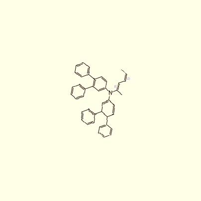 C/C=C\C=C(/C)N(C1=CC(c2ccccc2)C(c2ccccc2)C=C1)c1ccc(-c2ccccc2)c(-c2ccccc2)c1